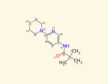 CC(C)(C)C(=O)Nc1ccc(N2CCSCC2)nc1